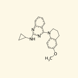 COc1ccc2c(c1)CCCN2c1nc(NC2CC2)nc2ccccc12